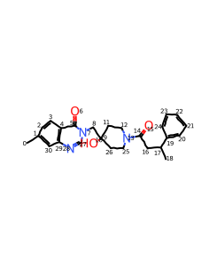 Cc1ccc2c(=O)n(CC3(O)CCN(C(=O)CC(C)c4ccccc4)CC3)cnc2c1